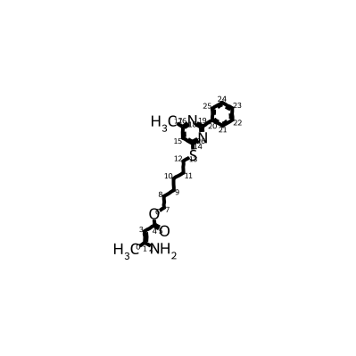 C/C(N)=C/C(=O)OCCCCCCSc1cc(C)nc(-c2ccccc2)n1